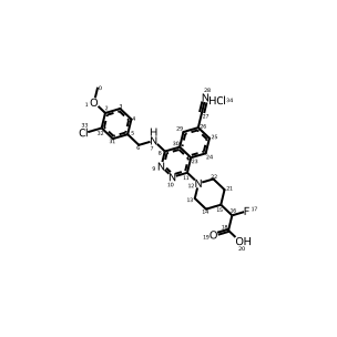 COc1ccc(CNc2nnc(N3CCC(C(F)C(=O)O)CC3)c3ccc(C#N)cc23)cc1Cl.Cl